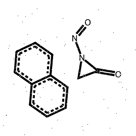 O=NN1CC1=O.c1ccc2ccccc2c1